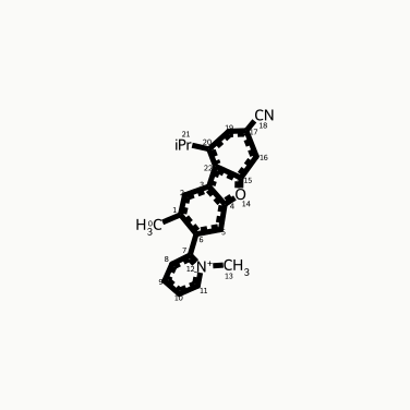 Cc1cc2c(cc1-c1cccc[n+]1C)oc1cc(C#N)cc(C(C)C)c12